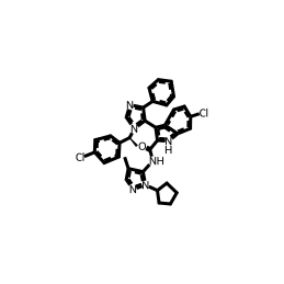 Cc1cnn(C2CCCC2)c1NC(=O)c1[nH]c2cc(Cl)ccc2c1-c1c(-c2ccccc2)ncn1[C@@H](C)c1ccc(Cl)cc1